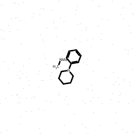 CNC.c1ccc(N2CCCCC2)cc1